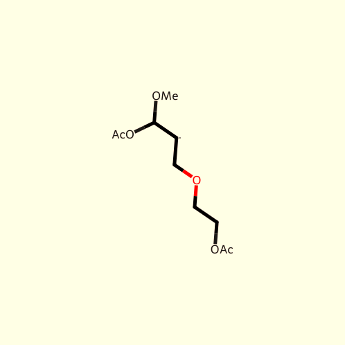 COC([CH]COCCOC(C)=O)OC(C)=O